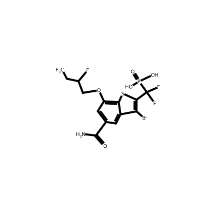 NC(=O)c1cc(OCC(F)CC(F)(F)F)c2sc(C(F)(F)P(=O)(O)O)c(Br)c2c1